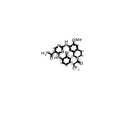 COc1cc2c(cc1Nc1ncc(C(N)=O)c(Nc3ccccc3Br)n1)CN(C(=O)CC(F)(F)F)CC2